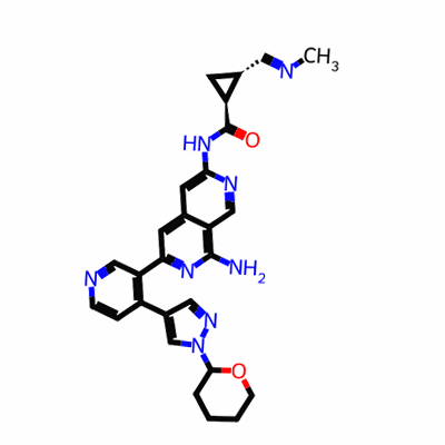 CN=C[C@H]1C[C@@H]1C(=O)Nc1cc2cc(-c3cnccc3-c3cnn(C4CCCCO4)c3)nc(N)c2cn1